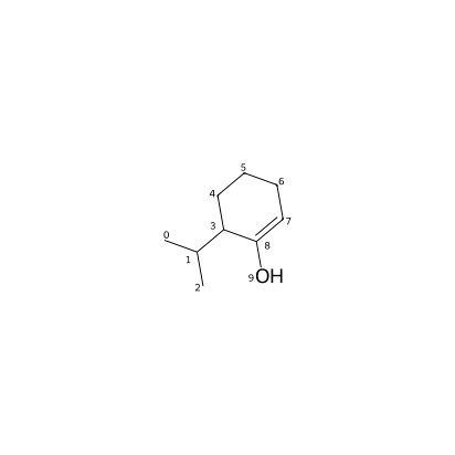 CC(C)C1CCCC=C1O